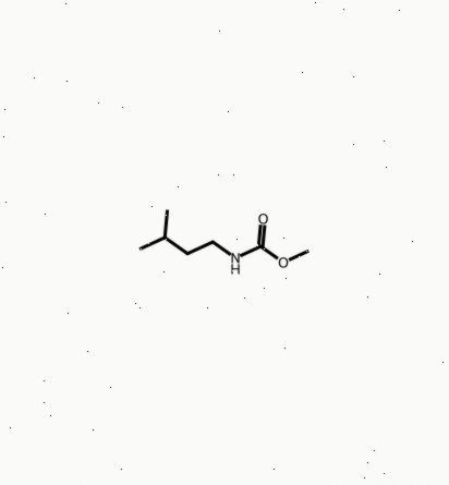 COC(=O)NCCC(C)C